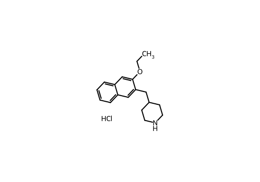 CCOc1cc2ccccc2cc1CC1CCNCC1.Cl